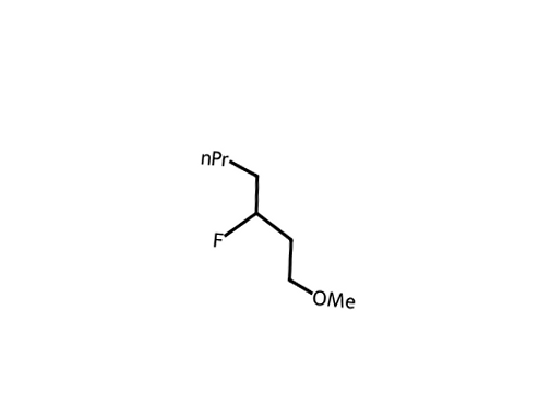 CCCCC(F)CCOC